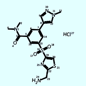 CN(C)C(=O)c1cc(-c2cnn(C)c2)cc(S(=O)(=O)c2csc(CN)n2)c1.Cl